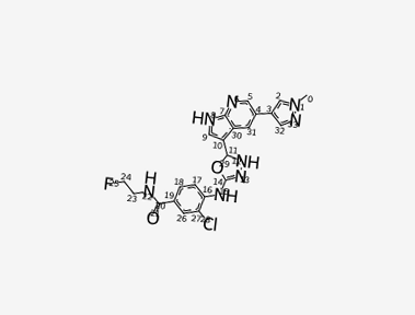 Cn1cc(-c2cnc3[nH]cc(C4NN=C(Nc5ccc(C(=O)NCCF)cc5Cl)O4)c3c2)cn1